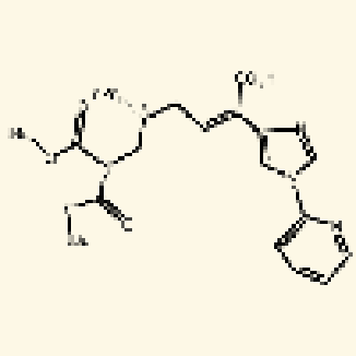 CCC[C@H](CC=C(C(=O)O)c1cn(-c2ccccn2)cn1)CN(C(=O)OC(C)(C)C)C(=O)OC(C)(C)C